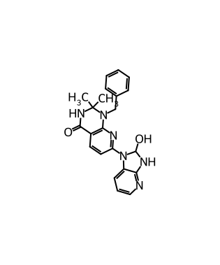 CC1(C)NC(=O)c2ccc(N3c4cccnc4NC3O)nc2N1Cc1ccccc1